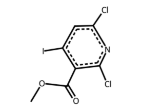 COC(=O)c1c(I)cc(Cl)nc1Cl